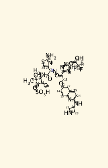 CC1(C)[C@H](NC(=O)/C(=N\O[C@@H](COc2ccc3nc(NC4CNC4)ccc3c2)c2nn[nH]n2)c2csc(N)n2)C(=O)N1OS(=O)(=O)O.O=C(O)C(F)(F)F